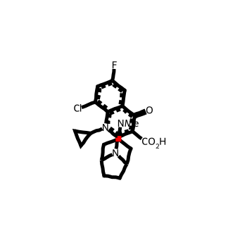 CNC1CC2CCC(C1)N2c1c(C(=O)O)c(=O)c2cc(F)cc(Cl)c2n1C1CC1